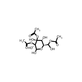 CC(=O)OC(O)[C@H]1OC(O)[C@@](O)(OC(C)=O)[C@](O)(OC(C)=O)[C@@H]1O